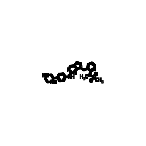 CN(c1ncccc1Cn1ccc2cnc(Nc3ccc(C4CNCCN4)cc3)nc21)S(C)(=O)=O